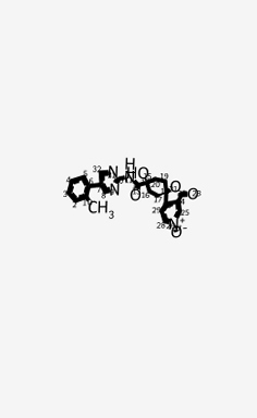 Cc1ccccc1-c1cnc(NC(=O)[C@]2(O)CC[C@@]3(CC2)OC(=O)c2c[n+]([O-])ccc23)nc1